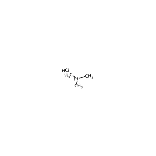 Cl.[CH3][Pt]([CH3])[CH3]